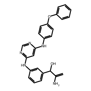 C=C(N)C(O)c1cccc(Nc2cc(Nc3ccc(Oc4ccccc4)cc3)ncn2)c1